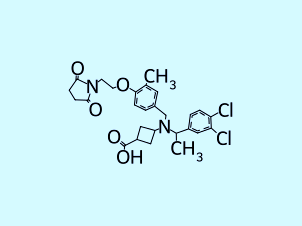 Cc1cc(CN(C2CC(C(=O)O)C2)C(C)c2ccc(Cl)c(Cl)c2)ccc1OCCN1C(=O)CCC1=O